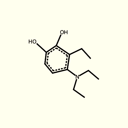 CCc1c(N(CC)CC)ccc(O)c1O